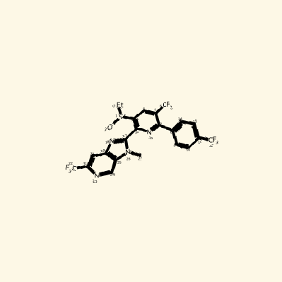 CC[S+]([O-])c1cc(C(F)(F)F)c(-c2ccc(C(F)(F)F)cc2)nc1-c1nc2cc(C(F)(F)F)ncc2n1C